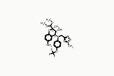 COC(OC)[C@]1(C)Oc2ccc(N)cc2[C@H](N(Cc2nnn(C)n2)c2ccc(OC(F)(F)F)cc2)[C@H]1O